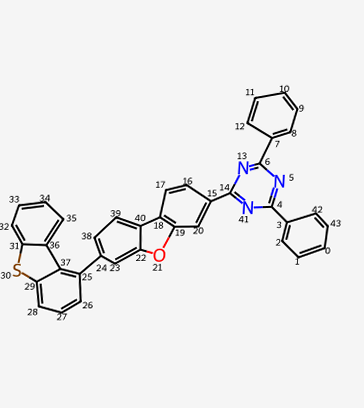 c1ccc(-c2nc(-c3ccccc3)nc(-c3ccc4c(c3)oc3cc(-c5cccc6sc7ccccc7c56)ccc34)n2)cc1